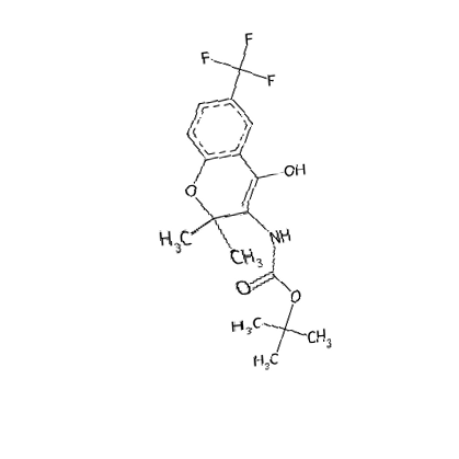 CC(C)(C)OC(=O)NC1=C(O)c2cc(C(F)(F)F)ccc2OC1(C)C